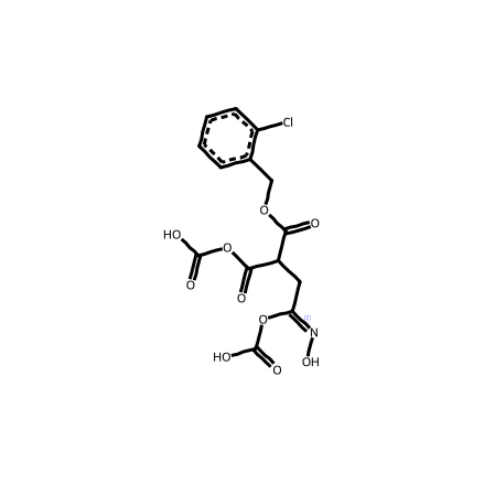 O=C(O)OC(=O)C(C/C(=N/O)OC(=O)O)C(=O)OCc1ccccc1Cl